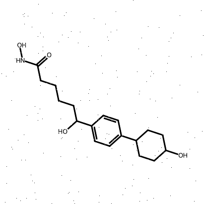 O=C(CCCCC(O)c1ccc(C2CCC(O)CC2)cc1)NO